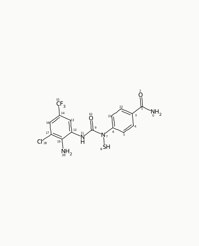 NC(=O)c1ccc(N(S)C(=O)Nc2cc(C(F)(F)F)cc(Cl)c2N)cc1